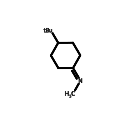 CN=C1CCC(C(C)(C)C)CC1